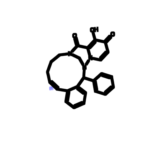 O=C1c2c(O)c(=O)ccn2N2CN1CCC/C=C\c1ccccc1C2c1ccccc1